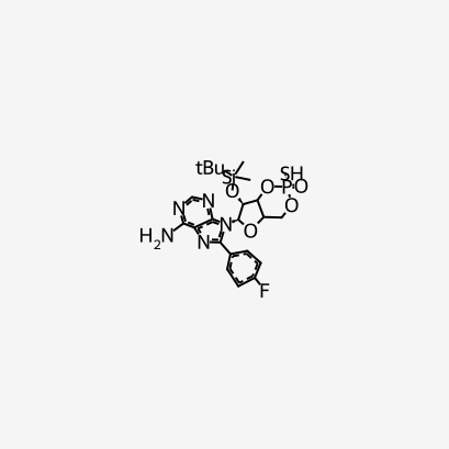 CC(C)(C)[Si](C)(C)O[C@H]1C2O[P@](=O)(S)OCC2O[C@H]1n1c(-c2ccc(F)cc2)nc2c(N)ncnc21